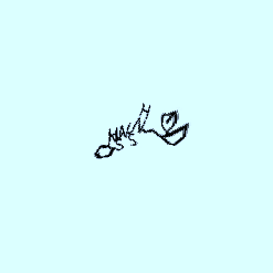 COc1ccccc1CCNC(=S)Nc1nc2ccccc2s1